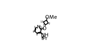 CO[C@H]1C[C@@H](Oc2ncccc2NC(C)C)C1